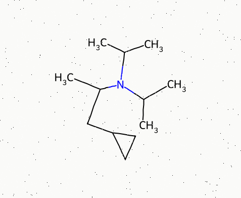 CC(C)N(C(C)C)C(C)CC1CC1